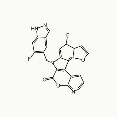 O=c1oc2ncccc2c2c3c(n(Cc4cc5cn[nH]c5cc4F)c12)=CC(F)C1C=COC=31